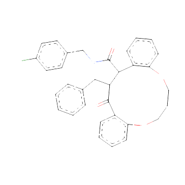 O=C1c2ccccc2OCCCOc2ccccc2C(C(=O)NCc2ccc(Cl)cc2)C1Cc1ccccc1